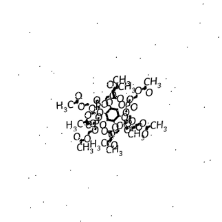 CCCC(=O)O[C@@H]1[C@@H](OP(=O)(OCOC(C)=O)OCOC(C)=O)[C@H](OP(=O)(OCOC(C)=O)OCOC(C)=O)[C@@H](OC(=O)CCC)[C@H](OP(=O)(OCOC(C)=O)OCOC(C)=O)[C@@H]1OP(=O)(OCOC(C)=O)OCOC(C)=O